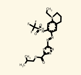 CCN1CCCc2cc(N=Nc3nnc(C(=O)OCC(C)C)s3)c(NS(=O)(=O)C(F)(F)F)cc21